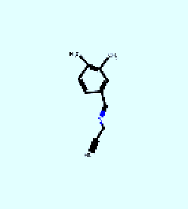 C#CC/N=C/c1ccc(C)c(C)c1